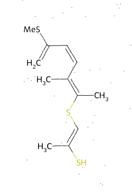 C=C(/C=C\C(C)=C(/C)S/C=C(\C)S)SC